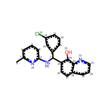 Cc1cccc(NC(c2cccc(Cl)c2)c2ccc3cccnc3c2O)n1